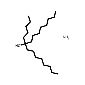 CCCCCCCCC(O)(CCCCC)CCCCCCCC.[AlH3]